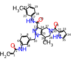 C=CC(=O)Nc1cccc(Cn2nc(C(=O)Nc3cccc(C)c3)c3c2C(C)CN(C(=O)c2ccc[nH]2)C3)c1